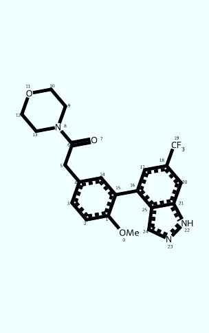 COc1ccc(CC(=O)N2CCOCC2)cc1-c1cc(C(F)(F)F)cc2[nH]ncc12